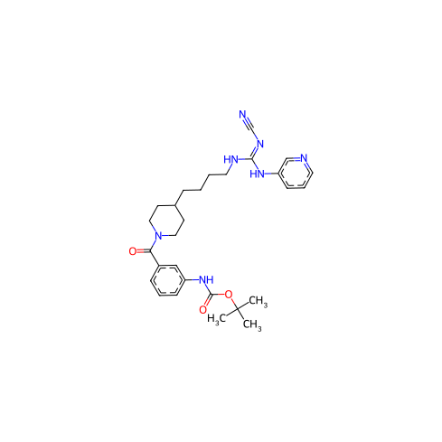 CC(C)(C)OC(=O)Nc1cccc(C(=O)N2CCC(CCCCN/C(=N\C#N)Nc3cccnc3)CC2)c1